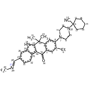 CCc1cc2c(cc1N1CCN(C3(C#N)CCCCC3)CC1)C(C)(C)c1[nH]c3cc(/C=N/C)ccc3c1C2=O